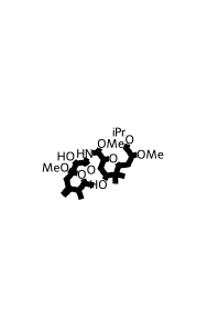 C=C1CC(OC)(C(O)C(=O)NC(OC)C2CC(O)C(C)(C)C(CC(COC(C)C)OC)O2)OC(C)C1C